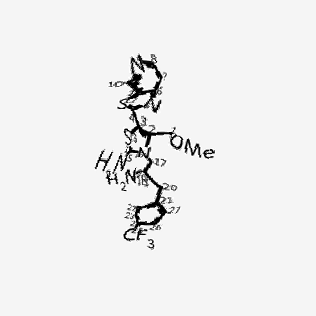 COCC1=C(c2nc3ccncc3s2)SC(N)N1C[C@H](N)Cc1ccc(C(F)(F)F)cc1